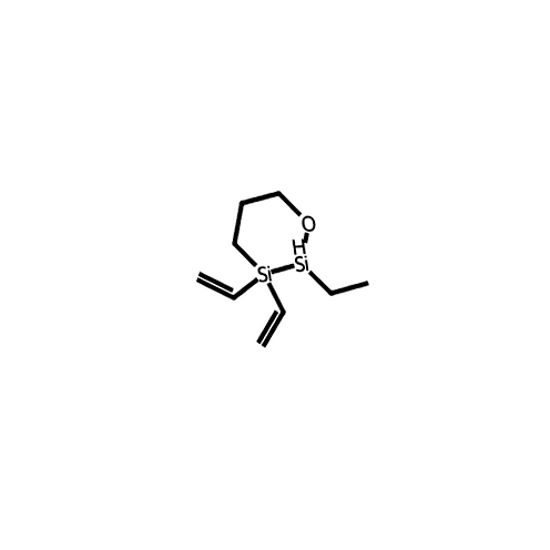 C=C[Si]1(C=C)CCCO[SiH]1CC